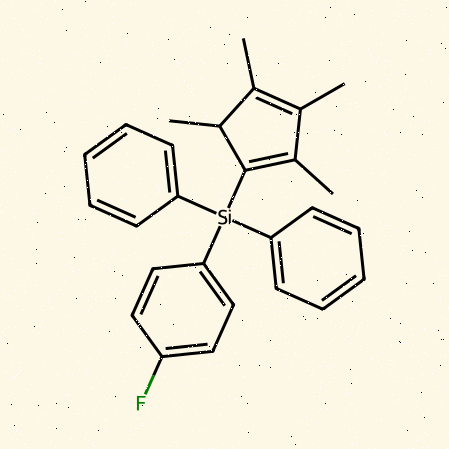 CC1=C(C)C(C)C([Si](c2ccccc2)(c2ccccc2)c2ccc(F)cc2)=C1C